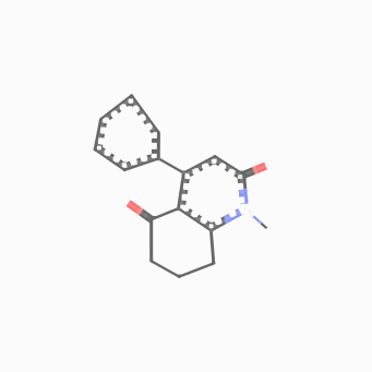 Cn1c2c(c(-c3ccccc3)cc1=O)C(=O)CCC2